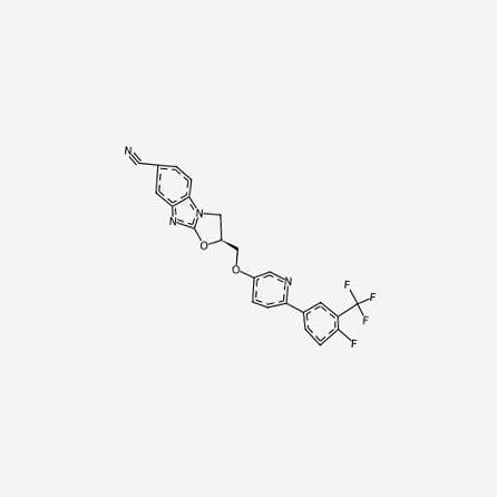 N#Cc1ccc2c(c1)nc1n2C[C@@H](COc2ccc(-c3ccc(F)c(C(F)(F)F)c3)nc2)O1